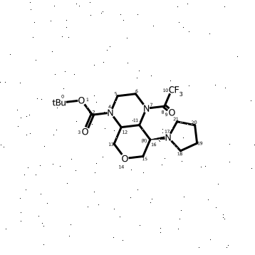 CC(C)(C)OC(=O)N1CCN(C(=O)C(F)(F)F)C2C1COC[C@@H]2N1CCCC1